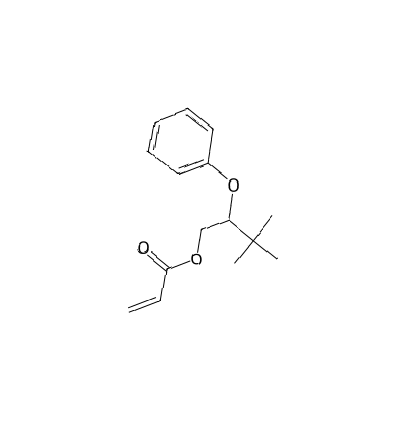 C=CC(=O)OCC(Oc1ccccc1)C(C)(C)C